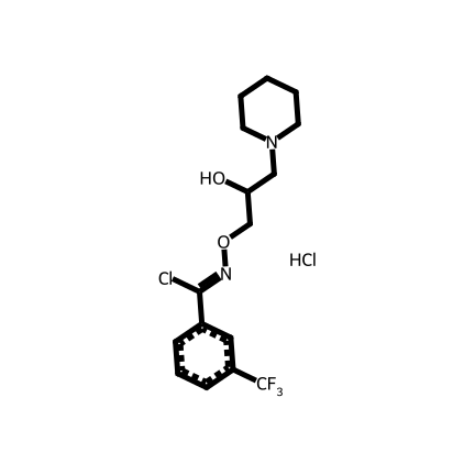 Cl.OC(CO/N=C(\Cl)c1cccc(C(F)(F)F)c1)CN1CCCCC1